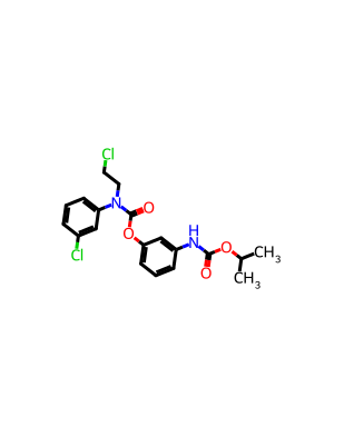 CC(C)OC(=O)Nc1cccc(OC(=O)N(CCCl)c2cccc(Cl)c2)c1